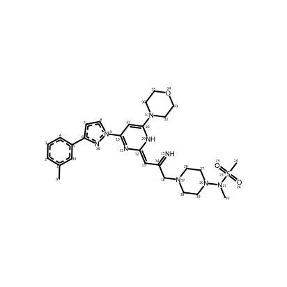 Cc1cccc(-c2ccn(C3=N/C(=C/C(=N)CN4CCN(N(C)S(C)(=O)=O)CC4)NC(N4CCOCC4)=C3)n2)c1